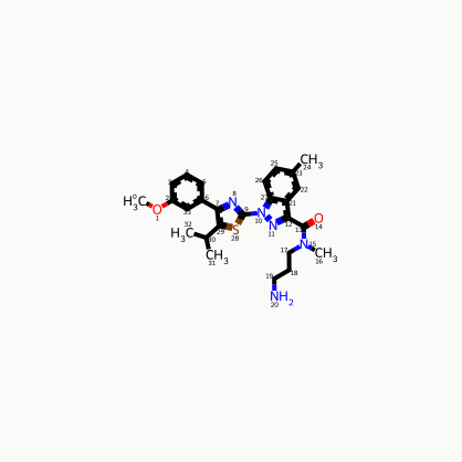 COc1cccc(-c2nc(-n3nc(C(=O)N(C)CCCN)c4cc(C)ccc43)sc2C(C)C)c1